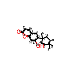 CC1(C)C=CC(C)(c2cc3ccc(=O)oc3cc2O)CC1